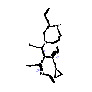 C=C\N=C(C)/C(C(=C\C)/C1CC1)=C(\C)N1CCNC(CC)C1